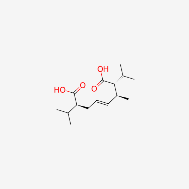 CC(C)[C@H](C/C=C/[C@H](C)[C@H](C(=O)O)C(C)C)C(=O)O